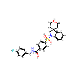 O=C(NCc1ccc(F)cc1)c1ccc(S(=O)(=O)N2CC3(CCOCC3)c3ccccc32)cc1